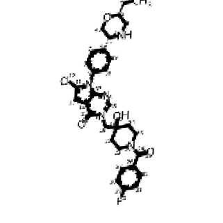 CC[C@H]1CN[C@H](c2ccc(-n3c(Cl)cc4c(=O)n(CC5(O)CCN(C(=O)c6ccc(F)cc6)CC5)cnc43)cc2)CO1